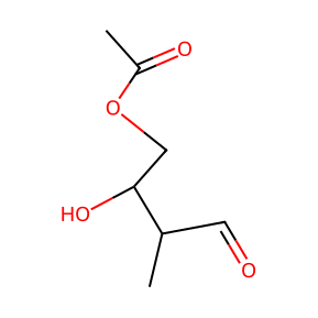 CC(=O)OCC(O)C(C)C=O